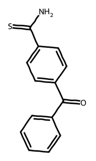 NC(=S)c1ccc(C(=O)c2ccccc2)cc1